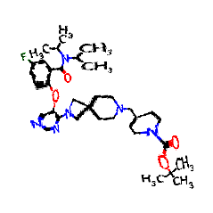 CC(C)N(C(=O)c1cc(F)ccc1Oc1cncnc1N1CC2(CCN(CC3=CCN(C(=O)OC(C)(C)C)CC3)CC2)C1)C(C)C